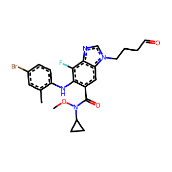 CON(C(=O)c1cc2c(ncn2CCCC=O)c(F)c1Nc1ccc(Br)cc1C)C1CC1